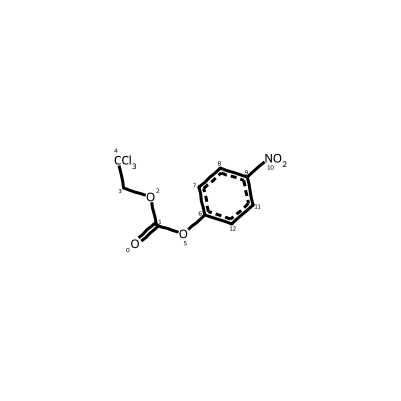 O=C(OCC(Cl)(Cl)Cl)Oc1ccc([N+](=O)[O-])cc1